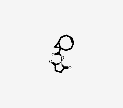 O=C1CCC(=O)N1OC(=O)C12CCC=CCCC1C2